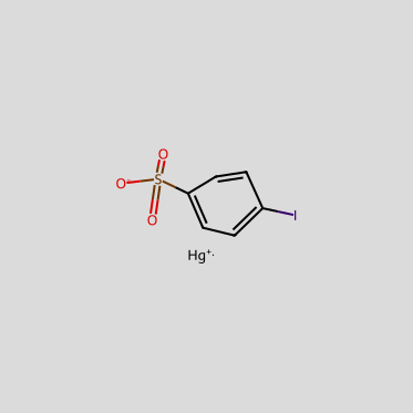 O=S(=O)([O-])c1ccc(I)cc1.[Hg+]